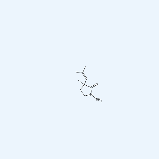 CC(C)=CC1(C)CCN(N)C1=O